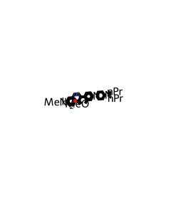 CCCN(CCC)C1CCN(c2ccc(C(/C=C\c3cccc(NC)c3)C(C)N)c(OC)c2)CC1